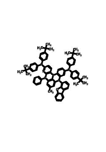 Cc1cc2c3c(c1)N(c1cccc4c1oc1ccccc14)c1cc(N(c4ccc(C(C)(C)C)cc4)c4ccc(C(C)(C)C)cc4)ccc1B3c1ccc(N(c3ccc(C(C)(C)C)cc3)c3ccc(C(C)(C)C)cc3)nc1N2c1ccccc1